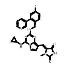 CN1C(=O)NC(=O)/C1=C/c1cnn2c(NC3CC3)nc(NCc3ccc(F)cc3-c3cccnc3)nc12